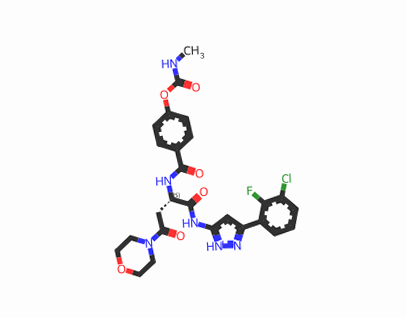 CNC(=O)Oc1ccc(C(=O)N[C@@H](CC(=O)N2CCOCC2)C(=O)Nc2cc(-c3cccc(Cl)c3F)n[nH]2)cc1